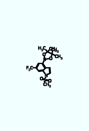 CC1(C)OB(c2cc(C(F)(F)F)cc3c2ccn3S(C)(=O)=O)OC1(C)C